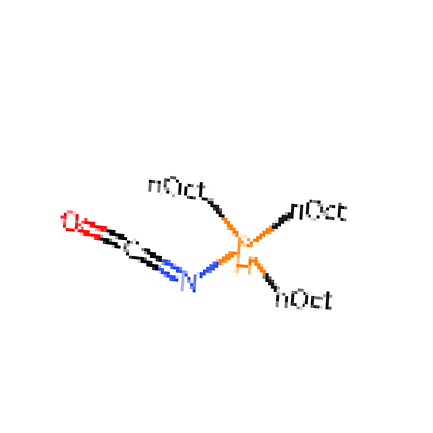 CCCCCCCC[PH](CCCCCCCC)(CCCCCCCC)N=C=O